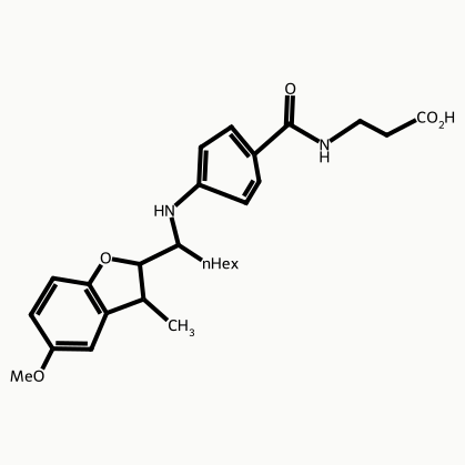 CCCCCCC(Nc1ccc(C(=O)NCCC(=O)O)cc1)C1Oc2ccc(OC)cc2C1C